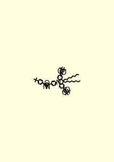 CCCCCCCCC1(CCCCCCCC)c2cc(B3OC(C)(C)C(C)(C)O3)ccc2N(c2ccc(-c3nnc(-c4ccc(C(C)(C)C)cc4)o3)cc2)c2ccc(B3OC(C)(C)C(C)(C)O3)cc21